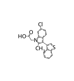 Cc1c(-c2csc3ccccc23)c2ccc(Cl)cc2n1CC(=O)O